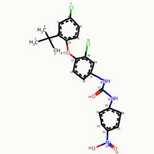 CC(C)(C)c1cc(Cl)ccc1Oc1ccc(NC(=O)Nc2ccc([N+](=O)[O-])cc2)cc1Cl